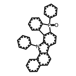 O=P1(c2ccccc2)c2ccccc2-c2c1ccc1c3ccc4ccccc4c3n(-c3ccccc3)c21